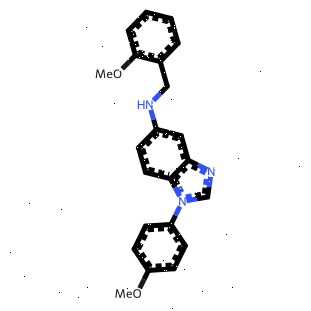 COc1ccc(-n2cnc3cc(NCc4ccccc4OC)ccc32)cc1